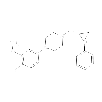 COc1cc(N2CCN(C[C@@H]3C[C@H]3c3ccccc3)CC2)ccc1I